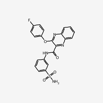 NS(=O)(=O)c1cccc(NC(=O)c2nc3ccccc3nc2Oc2ccc(F)cc2)c1